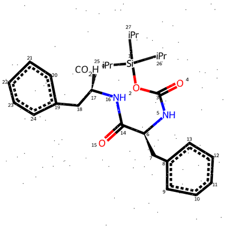 CC(C)[Si](OC(=O)N[C@@H](Cc1ccccc1)C(=O)N[C@@H](Cc1ccccc1)C(=O)O)(C(C)C)C(C)C